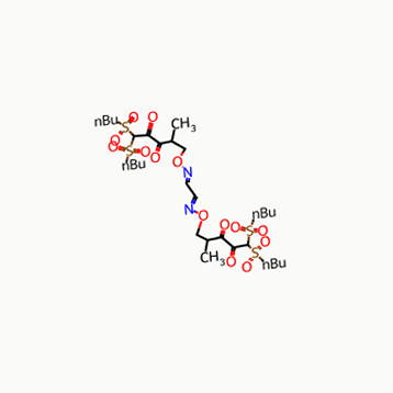 CCCCS(=O)(=O)C(C(=O)C(=O)C(C)CO/N=C/C=N/OCC(C)C(=O)C(=O)C(S(=O)(=O)CCCC)S(=O)(=O)CCCC)S(=O)(=O)CCCC